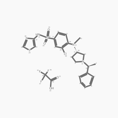 C[C@@H](c1ccccc1)N1CC[C@H](N(C)c2ccc(S(=O)(=O)Nc3cscn3)cc2Cl)C1.O=C(O)C(F)(F)F